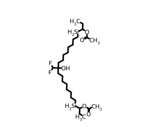 CCC(OC(C)=O)[SiH2]CCCCCCCCC(O)(CCCCCCCC[SiH2]C(CC)OC(C)=O)C(F)F